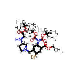 CCOC(=O)c1cc(Br)c(CN2CC[C@@H](NCC(=O)OC(C)(C)C)C2)cc1N(C(=O)OC(C)(C)C)C(=O)OC(C)(C)C